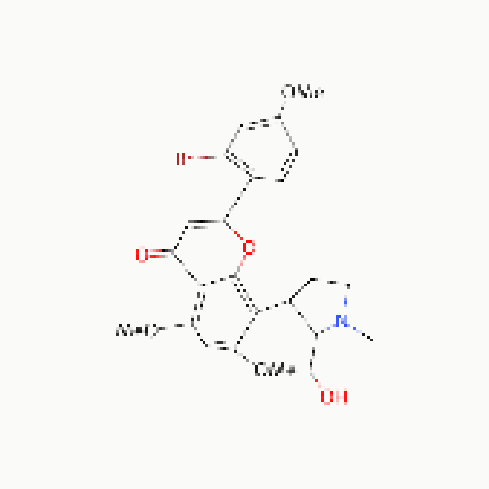 COc1ccc(-c2cc(=O)c3c(OC)cc(OC)c(C4CCN(C)C4CO)c3o2)c(Br)c1